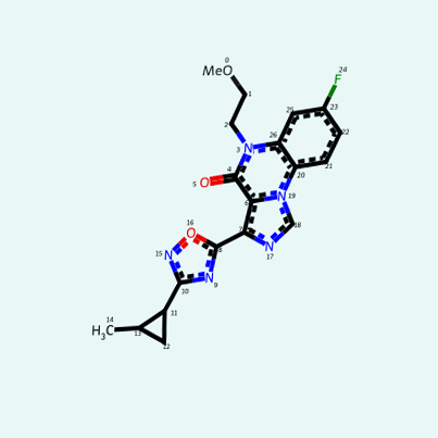 COCCn1c(=O)c2c(-c3nc(C4CC4C)no3)ncn2c2ccc(F)cc21